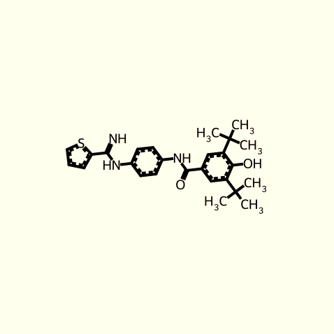 CC(C)(C)c1cc(C(=O)Nc2ccc(NC(=N)c3cccs3)cc2)cc(C(C)(C)C)c1O